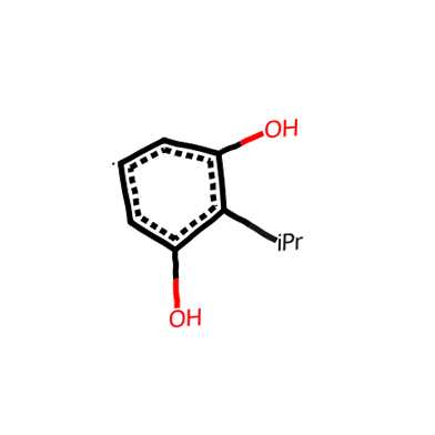 CC(C)c1c(O)c[c]cc1O